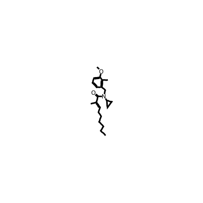 CCCCCCC=C(C)C(=O)N(Cc1cccc(OC)c1C)C1CC1